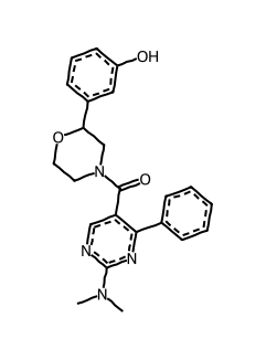 CN(C)c1ncc(C(=O)N2CCOC(c3cccc(O)c3)C2)c(-c2ccccc2)n1